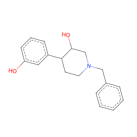 Oc1cccc(C2CCN(Cc3ccccc3)CC2O)c1